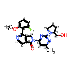 COc1cccc(F)c1-c1nccc2c1CN(c1cc(C)nc(N3CCCC3CO)n1)C2=O